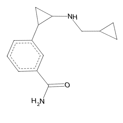 NC(=O)c1cccc(C2CC2NCC2CC2)c1